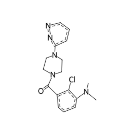 CN(C)c1cccc(C(=O)N2CCN(c3cccnn3)CC2)c1Cl